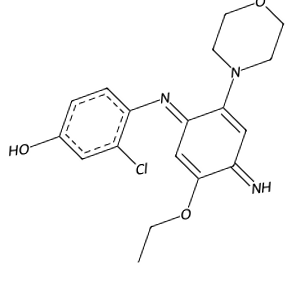 CCOC1=CC(=Nc2ccc(O)cc2Cl)C(N2CCOCC2)=CC1=N